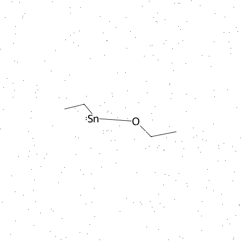 CC[O][Sn][CH2]C